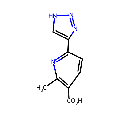 Cc1nc(-c2c[nH]nn2)ccc1C(=O)O